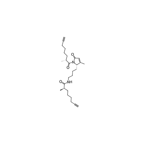 C#CCCCC[C@@H](C)C(=O)NCCCC[C@H]1C(C)=CC(=O)N1C(=O)[C@H](C)CCCCC#C